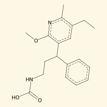 CCc1cc(C(CCNC(=O)O)c2ccccc2)c(OC)nc1C